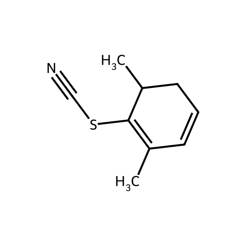 CC1=C(SC#N)C(C)CC=C1